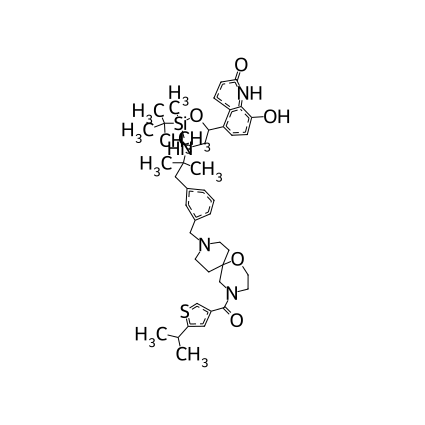 CC(C)c1cc(C(=O)N2CCOC3(CCN(Cc4cccc(CC(C)(C)NCC(O[Si](C)(C)C(C)(C)C)c5ccc(O)c6[nH]c(=O)ccc56)c4)CC3)C2)cs1